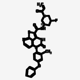 C=CC(=O)N1CC(F)C[C@@H](NC(=O)c2sc3nccc4c3c2NC(=O)N4c2ccc(Oc3ccccc3)cc2C)C1